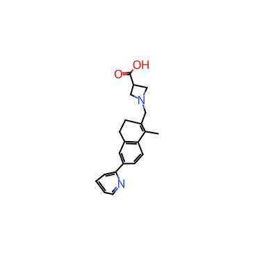 CC1=C(CN2CC(C(=O)O)C2)CCc2cc(-c3ccccn3)ccc21